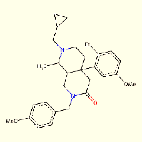 CCc1ccc(OC)cc1C12CCN(CC3CC3)C(C)C1CN(Cc1ccc(OC)cc1)C(=O)C2